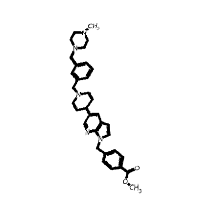 COC(=O)c1ccc(Cn2ccc3cc(C4CCN(Cc5cccc(CN6CCN(C)CC6)c5)CC4)cnc32)cc1